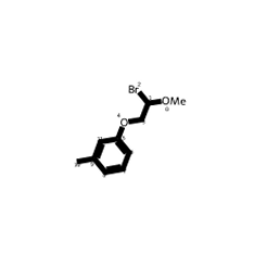 COC(Br)COc1cccc(C)c1